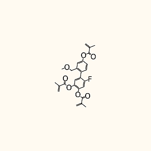 C=C(C)C(=O)Oc1ccc(-c2cc(OC(=O)C(=C)C)c(OC(=O)C(=C)C)cc2F)c(COC)c1